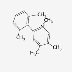 Cc1cc(-c2c(C)cccc2C)[n+](C)cc1C